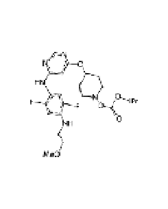 COCCNc1cc(F)c(Nc2cc(OC3CCN(OC(=O)OC(C)C)CC3)ncn2)cc1F